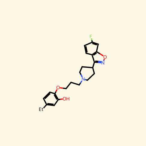 CCc1ccc(OCCCN2CCC(c3noc4cc(F)ccc34)CC2)c(O)c1